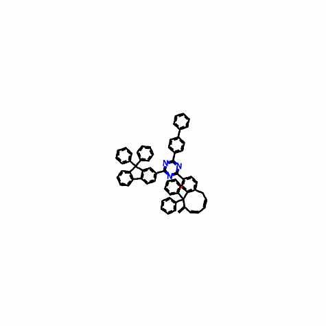 C=C1/C=C\C=C/Cc2ccc(-c3nc(-c4ccc(-c5ccccc5)cc4)nc(-c4ccc5c(c4)C(c4ccccc4)(c4ccccc4)c4ccccc4-5)n3)cc2C1(c1ccccc1)c1ccccc1